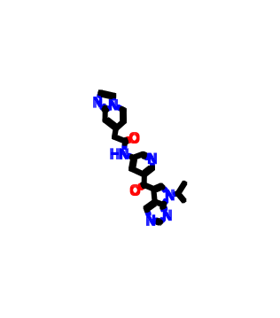 CC(C)n1cc(C(=O)c2cncc(NC(=O)Cc3ccn4ccnc4c3)c2)c2cncnc21